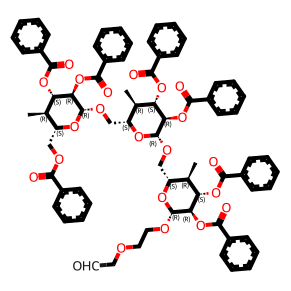 C[C@H]1[C@H](OC(=O)c2ccccc2)[C@@H](OC(=O)c2ccccc2)[C@H](OC[C@H]2O[C@@H](OC[C@H]3O[C@@H](OCCOCC=O)[C@H](OC(=O)c4ccccc4)[C@@H](OC(=O)c4ccccc4)[C@@H]3C)[C@H](OC(=O)c3ccccc3)[C@@H](OC(=O)c3ccccc3)[C@@H]2C)O[C@@H]1COC(=O)c1ccccc1